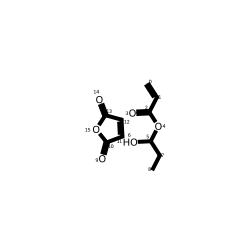 C=CC(=O)OC(O)CC.O=C1C=CC(=O)O1